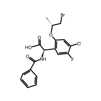 C[C@H](CBr)Oc1cc(Cl)c(F)cc1[C@@H](NC(=O)c1ccccc1)C(=O)O